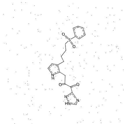 O=C(Cc1[nH]ccc1CCCCS(=O)(=O)c1ccccc1)C(=O)c1nc[nH]n1